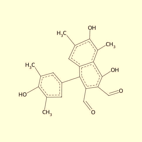 Cc1cc(-c2c(C=O)c(C=O)c(O)c3c(C)c(O)c(C)cc23)cc(C)c1O